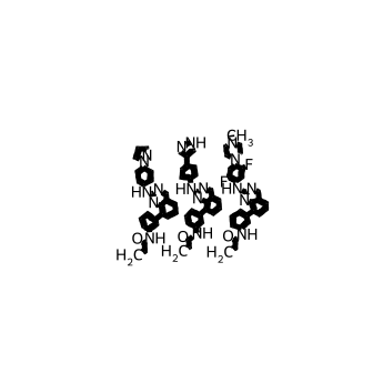 C=CC(=O)Nc1cccc(-c2cccc3cnc(Nc4cc(F)c(N5CCN(C)CC5)cc4F)nc23)c1.C=CC(=O)Nc1cccc(-c2cccc3cnc(Nc4ccc(-c5cn[nH]c5)cc4)nc23)c1.C=CC(=O)Nc1cccc(-c2cccc3cnc(Nc4ccc(-n5cccn5)cc4)nc23)c1